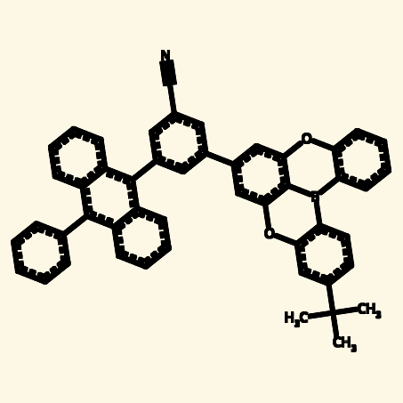 CC(C)(C)c1ccc2c(c1)Oc1cc(-c3cc(C#N)cc(-c4c5ccccc5c(-c5ccccc5)c5ccccc45)c3)cc3c1B2c1ccccc1O3